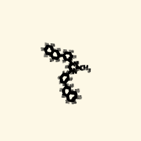 Cc1nc(-c2cccc(-c3ccc4ccccc4c3)c2)cc(-c2cccc(-c3ccc4ccccc4c3)c2)n1